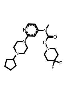 CN(C(=O)ON1CCC(F)(F)CC1)c1ccnc(N2CCN(C3CCCC3)CC2)c1